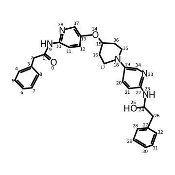 O=C(Cc1ccccc1)Nc1ccc(OC2CCN(c3ccc(NC(O)Cc4ccccc4)nc3)CC2)cn1